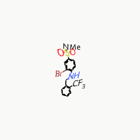 CNS(=O)(=O)c1ccc(NCc2ccccc2C(F)(F)F)c(Br)c1